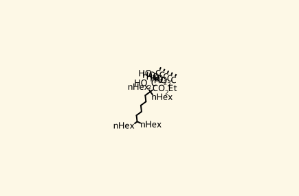 CC(=O)O.CC(=O)O.CC(=O)O.CC(=O)O.CC(=O)O.CC(=O)O.CCCCCCC(CCCCCC)CCCCCC(CCCCCC)(CCCCCC)C(=O)OCC